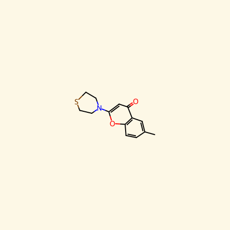 Cc1ccc2oc(N3CCSCC3)cc(=O)c2c1